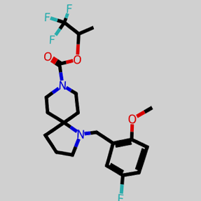 COc1ccc(F)cc1CN1CCCC12CCN(C(=O)OC(C)C(F)(F)F)CC2